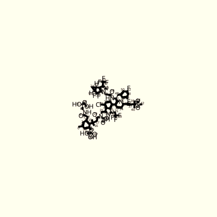 Cc1cc(CC(=O)NCP(=O)(O)O)c(C(C)(C)CC(=O)N(Cc2nn(CC(F)(F)F)c3c(-c4ccc(C#CC(C)(C)S(C)(=O)=O)nc4[C@H](Cc4cc(F)cc(F)c4)NC(=O)Cn4nc(C(F)(F)F)c5c4C(F)(F)[C@@H]4C[C@H]54)ccc(Cl)c23)[SH](=O)=O)c(OP(=O)(O)O)c1